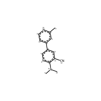 Cc1cc(-c2cnc(N(C)C)c(C#N)c2)ccn1